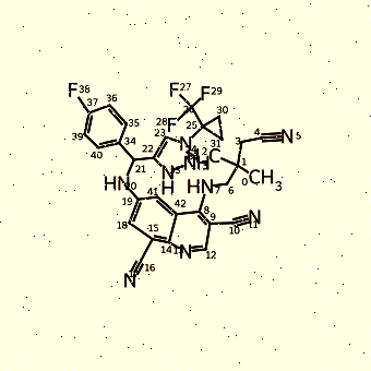 CC(C)(CC#N)CNc1c(C#N)cnc2c(C#N)cc(NC(C3=CN(C4(C(F)(F)F)CC4)NN3)c3ccc(F)cc3)cc12